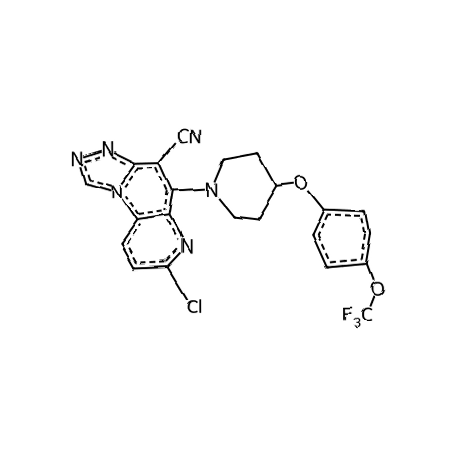 N#Cc1c(N2CCC(Oc3ccc(OC(F)(F)F)cc3)CC2)c2nc(Cl)ccc2n2cnnc12